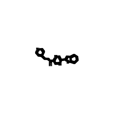 c1ccc2sc(-c3cnc(NCCc4ccncc4)cn3)cc2c1